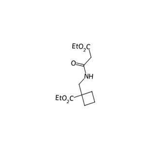 CCOC(=O)CC(=O)NCC1(C(=O)OCC)CCC1